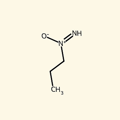 CCC[N+](=N)[O-]